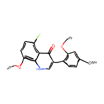 CCCOc1ccc(F)c2c(=O)c(-c3ccc(OC)cc3OC(C)C)c[nH]c12